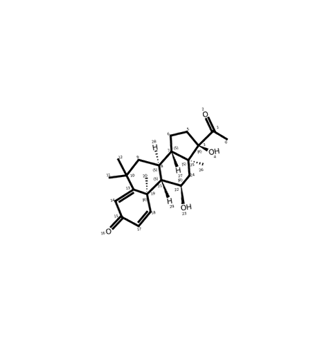 CC(=O)[C@@]1(O)CC[C@H]2[C@@H]3CC(C)(C)C4=CC(=O)C=C[C@]4(C)[C@H]3[C@H](O)C[C@@]21C